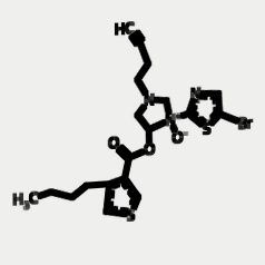 C#CCCN1CC(OC(=O)c2cscc2CCCC)[N+]([O-])(c2ncc(Br)s2)C1